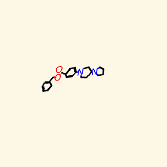 O=C(OCc1ccccc1)c1ccc(N2CCC(N3CCCC3)CC2)cc1